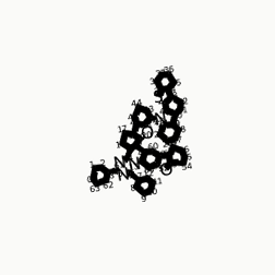 c1ccc(-c2nc(-c3ccccc3)nc(-c3ccc4c(oc5c(-n6c7ccccc7c7ccc8c9ccccc9sc8c76)cccc54)c3-c3ccc4oc5ccccc5c4c3)n2)cc1